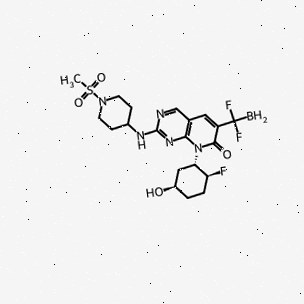 BC(F)(F)c1cc2cnc(NC3CCN(S(C)(=O)=O)CC3)nc2n([C@H]2C[C@H](O)CC[C@@H]2F)c1=O